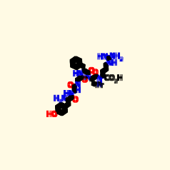 CC(C)C[C@H](NC(=O)[C@H](Cc1ccccc1)NC(=O)CNC(=O)CNC(=O)[C@@H](N)Cc1ccc(O)cc1)C(=O)N[C@@H](CCCNC(=N)N)C(=O)O